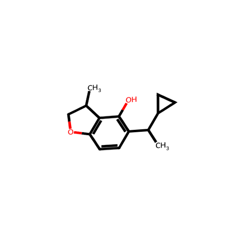 CC1COc2ccc(C(C)C3CC3)c(O)c21